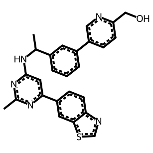 Cc1nc(NC(C)c2cccc(-c3ccc(CO)nc3)c2)cc(-c2ccc3ncsc3c2)n1